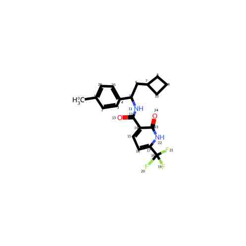 Cc1ccc(C(CC2CCC2)NC(=O)c2ccc(C(F)(F)F)[nH]c2=O)cc1